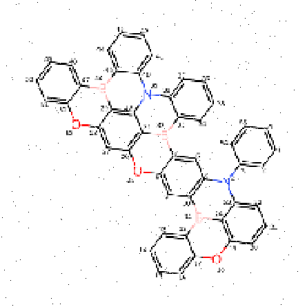 c1ccc(N2c3cc4c(cc3B3c5ccccc5Oc5cccc2c53)Oc2cc3c5c6c2B4c2ccccc2N6c2ccccc2B5c2ccccc2O3)cc1